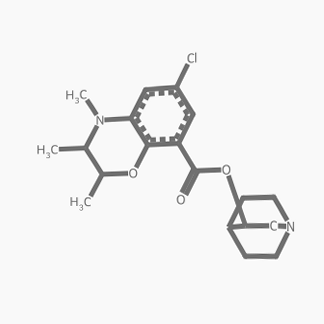 CC1Oc2c(C(=O)OC3CN4CCC3CC4)cc(Cl)cc2N(C)C1C